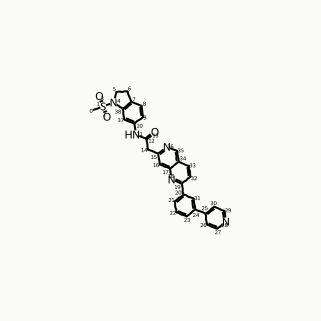 CS(=O)(=O)N1CCc2ccc(NC(=O)Cc3cc4nc(-c5cccc(-c6ccncc6)c5)ccc4cn3)cc21